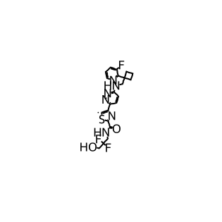 O=C(NCC(F)(F)CO)c1nc(-c2ccc(NCC3(c4ncccc4F)CCC3)nn2)[c]s1